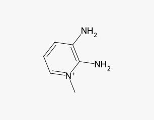 C[n+]1cccc(N)c1N